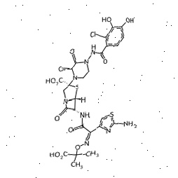 CC(C)(O/N=C(\C(=O)N[C@@H]1C(=O)N2C[C@@](C(=O)O)(N3CCN(NC(=O)c4ccc(O)c(O)c4Cl)C(=O)C3=O)S[C@H]12)c1csc(N)n1)C(=O)O